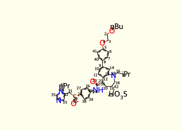 CCCCOCCOc1ccc(-c2ccc3c(c2)N(CC(C)C)CCC[C@@H]3C(=O)Nc2ccc([S+]([O-])Cc3cncn3CCC)cc2)cc1.CS(=O)(=O)O